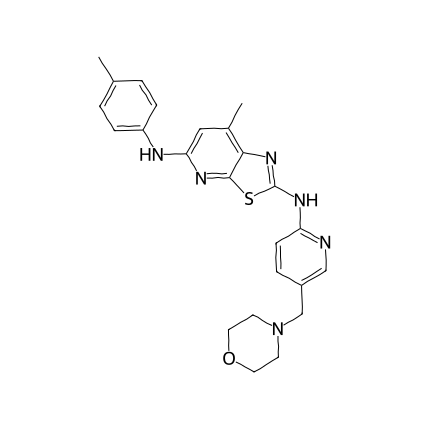 Cc1ccc(Nc2cc(C)c3nc(Nc4ccc(CN5CCOCC5)cn4)sc3n2)cc1